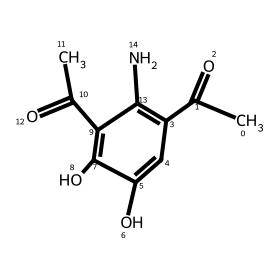 CC(=O)c1cc(O)c(O)c(C(C)=O)c1N